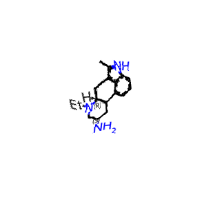 CCN1C[C@@H](N)CC2c3cccc4[nH]c(C)c(c34)C[C@H]21